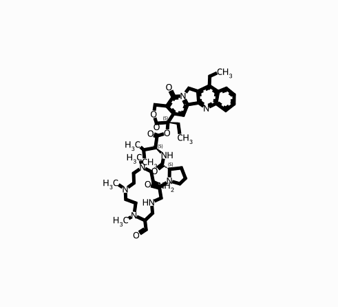 CCc1c2c(nc3ccccc13)-c1cc3c(c(=O)n1C2)COC(=O)[C@@]3(CC)OC(=O)[C@@H](NC(=O)[C@@H]1CCCN1C(=O)CNCC(C=O)N(C)CCN(C)CCN(C)CCN)C(C)C